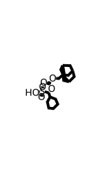 O=C(OCC12CC3CC(CC(C3)C1)C2)OC(C1CCCCC1)S(=O)(=O)O